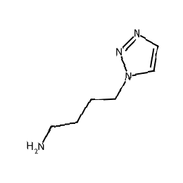 NCCCCn1ccnn1